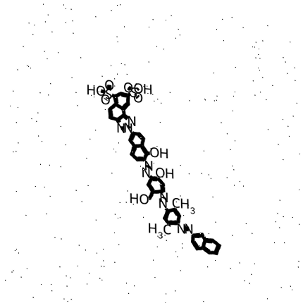 Cc1cc(N=Nc2cc(O)c(N=Nc3ccc4cc(-n5nc6ccc7c(S(=O)(=O)O)cc(S(=O)(=O)O)cc7c6n5)ccc4c3O)cc2CO)c(C)cc1N=Nc1ccc2ccccc2c1